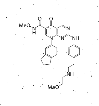 COCCNCCc1ccc(Nc2ncc3c(=O)c(C(=O)NOC)cn(-c4ccc5c(c4)CCC5)c3n2)cc1